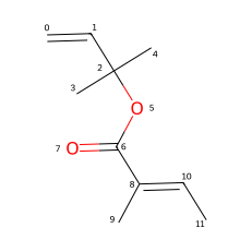 C=CC(C)(C)OC(=O)C(C)=CC